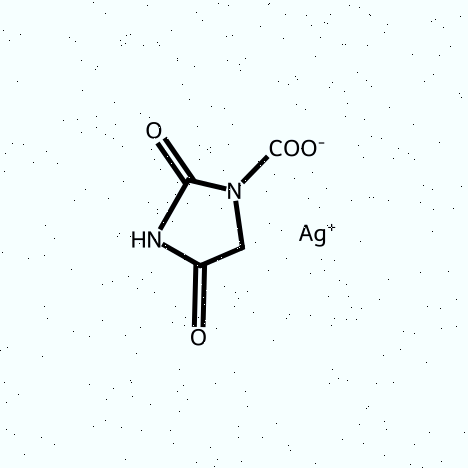 O=C1CN(C(=O)[O-])C(=O)N1.[Ag+]